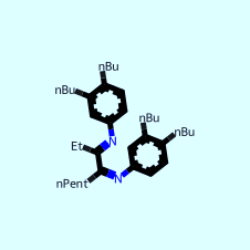 CCCCCC(=Nc1ccc(CCCC)c(CCCC)c1)C(CC)=Nc1ccc(CCCC)c(CCCC)c1